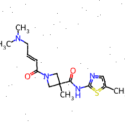 Cc1cnc(NC(=O)C2(C)CN(C(=O)/C=C/CN(C)C)C2)s1